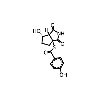 O=C(S[C@@]12CC[C@H](O)[C@@H]1C(=O)NC2=O)c1ccc(O)cc1